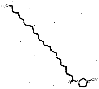 CCCCCCCCCCCCCCCCCCCCCCC(=O)N1CC[C@H](O)C1